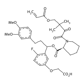 C=CC(=O)OCC(C)(C)C(=O)C(=O)N1CCCC[C@H]1C(=O)OC(CCc1ccc(OC)c(OC)c1)c1cc(OCC(=O)O)ccc1F